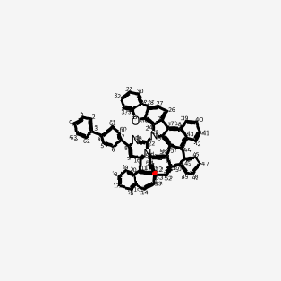 c1ccc(-c2ccc(-c3cc(-c4cccc5ccccc45)nc(-n4c5c(ccc6c7ccccc7oc65)c5c6ccccc6c6c7ccccc7c7ccccc7c6c54)n3)cc2)cc1